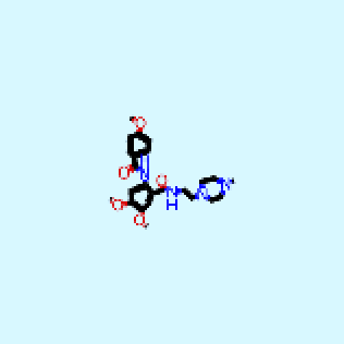 COc1ccc(C(=O)Nc2cc(OC)c(OC)cc2C(=O)NCCN2CCN(C)CC2)cc1